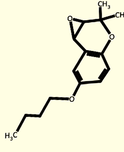 CCCCOc1ccc2c(c1)C1OC1C(C)(C)O2